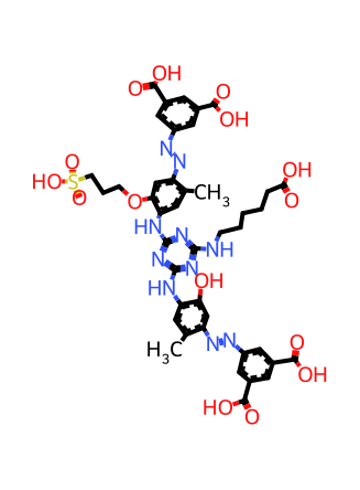 Cc1cc(Nc2nc(NCCCCCC(=O)O)nc(Nc3cc(C)c(N=Nc4cc(C(=O)O)cc(C(=O)O)c4)cc3OCCCS(=O)(=O)O)n2)c(O)cc1N=Nc1cc(C(=O)O)cc(C(=O)O)c1